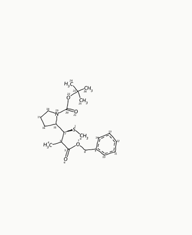 CS[C@@H](C(C)C(=O)OCc1ccccc1)C1CCCN1C(=O)OC(C)(C)C